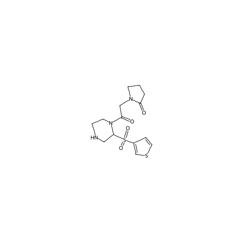 O=C1CCCN1CC(=O)N1CCNCC1S(=O)(=O)c1ccsc1